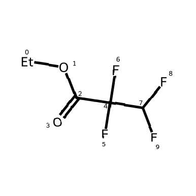 CCOC(=O)C(F)(F)C(F)F